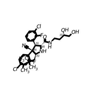 CCC(C)(C)C[C@@H]1N[C@@H](C(=O)NCC[C@H](O)CO)[C@H](c2cccc(Cl)c2F)[C@@]1(C#N)c1ccc(Cl)cc1F